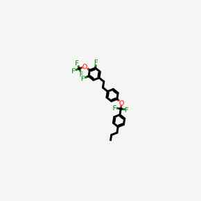 CCCc1ccc(C(F)(F)Oc2ccc(CCc3cc(F)c(OC(F)(F)F)c(F)c3)cc2)cc1